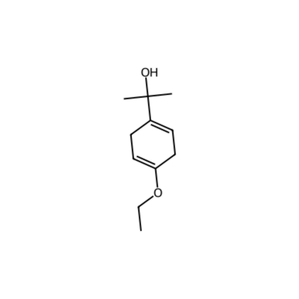 CCOC1=CCC(C(C)(C)O)=CC1